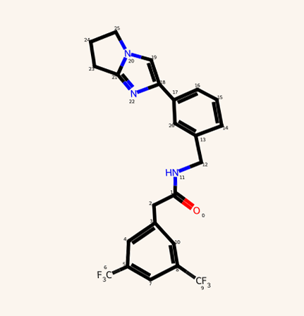 O=C(Cc1cc(C(F)(F)F)cc(C(F)(F)F)c1)NCc1cccc(-c2cn3c(n2)CCC3)c1